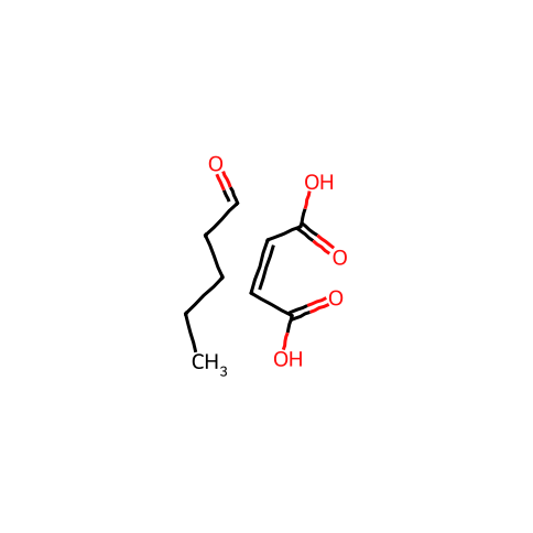 CCCCC=O.O=C(O)/C=C\C(=O)O